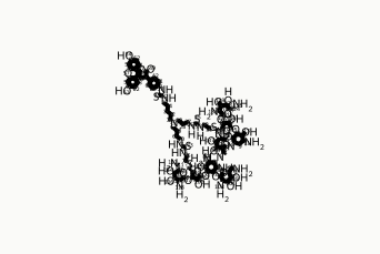 NCC1O[C@H](O[C@@H]2C(N)C[C@@H](N)C(O)[C@H]2OC2O[C@H](CSCCNC(=S)NCCCN(CCCCCNC(=S)Nc3ccc(C4CC5(OC4=O)c4ccc(O)cc4Oc4cc(O)ccc45)cc3)CCCCNC(=S)NCCSC[C@H]3OC(O[C@@H]4C(O)[C@H](N)CC(N)[C@H]4O[C@@H]4OC(CN)[C@@H](O)[C@H](O)C4N)[C@@H](O)[C@H]3O[C@H]3O[C@@H](CN)[C@@H](O)C(O)C3N)[C@H](O[C@H]3O[C@@H](CN)[C@@H](O)C(O)C3N)[C@@H]2O)C(N)[C@@H](O)[C@@H]1O